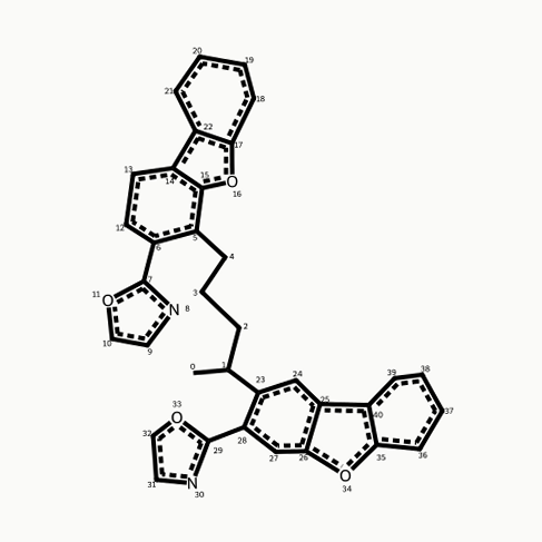 CC(CCCc1c(-c2ncco2)ccc2c1oc1ccccc12)c1cc2c(cc1-c1ncco1)oc1ccccc12